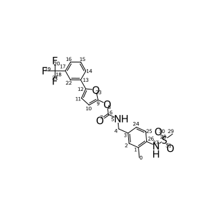 Cc1cc(CNC(=O)Oc2ccc(-c3cccc(C(F)(F)F)c3)o2)ccc1NS(C)(=O)=O